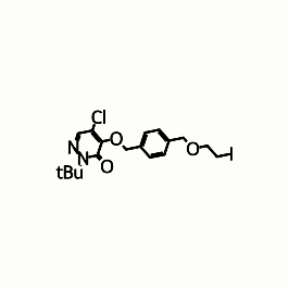 CC(C)(C)n1ncc(Cl)c(OCc2ccc(COCCI)cc2)c1=O